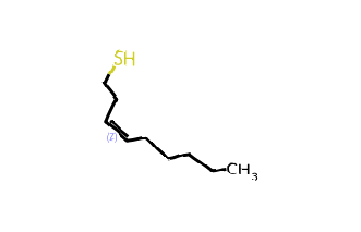 CCCCC/C=C\CCS